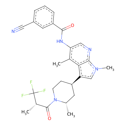 Cc1c(NC(=O)c2cccc(C#N)c2)cnc2c1c([C@@H]1CCN(C(=O)[C@H](C)C(F)(F)F)[C@@H](C)C1)cn2C